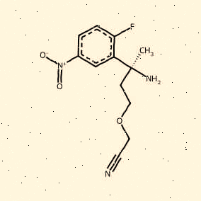 C[C@](N)(CCOCC#N)c1cc([N+](=O)[O-])ccc1F